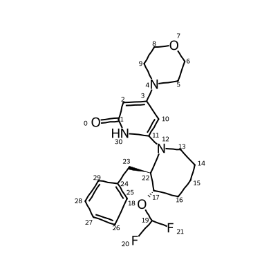 O=c1cc(N2CCOCC2)cc(N2CCCC[C@H](OC(F)F)[C@H]2Cc2ccccc2)[nH]1